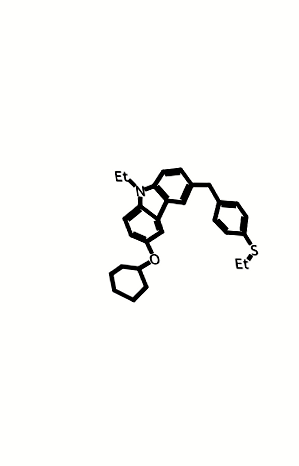 CCSc1ccc(Cc2ccc3c(c2)c2cc(OC4CCCCC4)ccc2n3CC)cc1